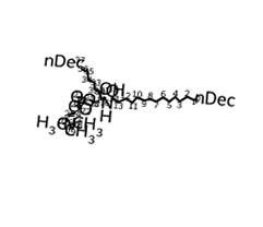 CCCCCCCCCCCCCCCCCCCCCCCC(=O)N[C@@H](COP(=O)([O-])OCC[N+](C)(C)C)[C@H](O)CCCCCCCCCCCCCCC